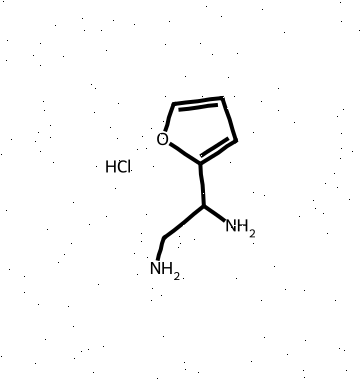 Cl.NCC(N)c1ccco1